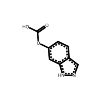 O=C(O)Oc1ccc2cn[nH]c2c1